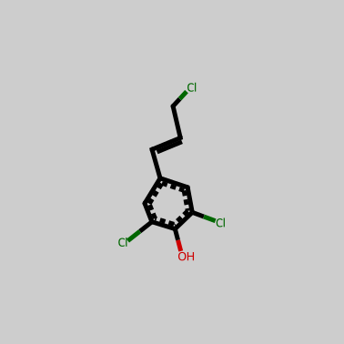 Oc1c(Cl)cc(C=CCCl)cc1Cl